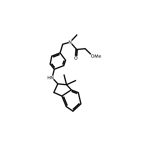 COCC(=O)N(C)Cc1ccc(NC2Cc3ccccc3C2(C)C)cc1